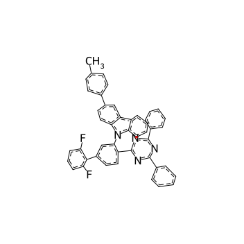 Cc1ccc(-c2ccc3c(c2)c2ccccc2n3-c2cc(-c3c(F)cccc3F)ccc2-c2nc(-c3ccccc3)nc(-c3ccccc3)n2)cc1